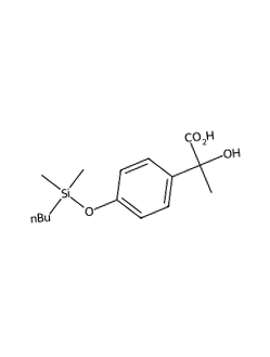 CCCC[Si](C)(C)Oc1ccc(C(C)(O)C(=O)O)cc1